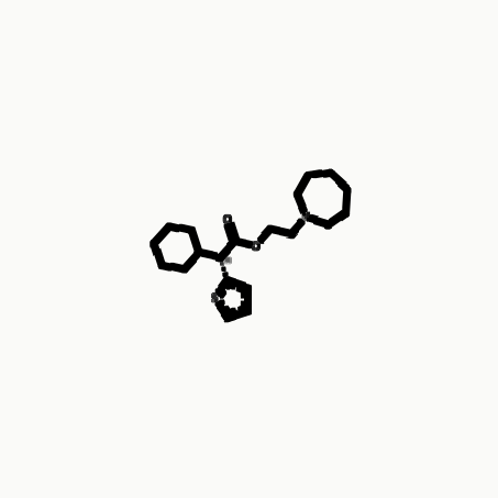 O=C(OCCN1CCCCCC1)[C@H](c1cccs1)C1CCCCC1